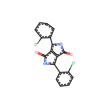 O=c1nc(-c2ccccc2Cl)c2c(=O)nc(-c3ccccc3Cl)c1=2